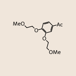 COCCOc1ccc(C(C)=O)cc1OCCOC